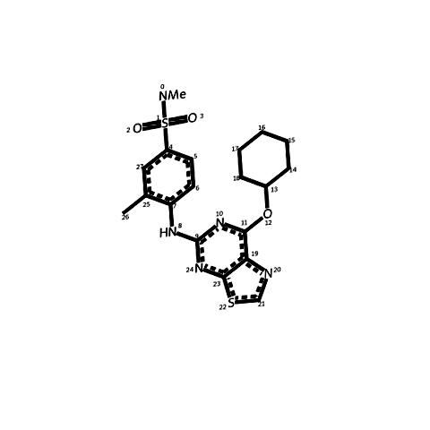 CNS(=O)(=O)c1ccc(Nc2nc(OC3CCCCC3)c3ncsc3n2)c(C)c1